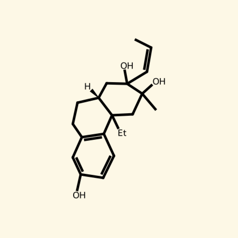 C/C=C\C1(O)C[C@H]2CCc3cc(O)ccc3C2(CC)CC1(C)O